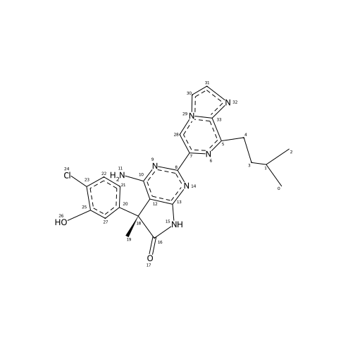 CC(C)CCc1nc(-c2nc(N)c3c(n2)NC(=O)[C@]3(C)c2ccc(Cl)c(O)c2)cn2ccnc12